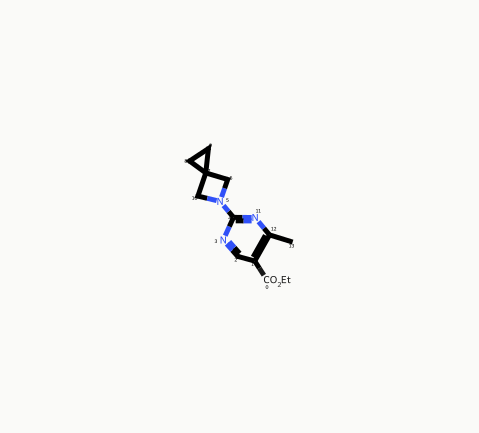 CCOC(=O)c1cnc(N2CC3(CC3)C2)nc1C